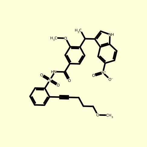 COCCCC#Cc1ccccc1S(=O)(=O)NC(=O)c1ccc(C(C)c2c[nH]c3ccc([N+](=O)[O-])cc23)c(OC)c1